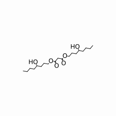 CCCCC(O)CCCOC(=O)CC(=O)OCCCC(O)CCCC